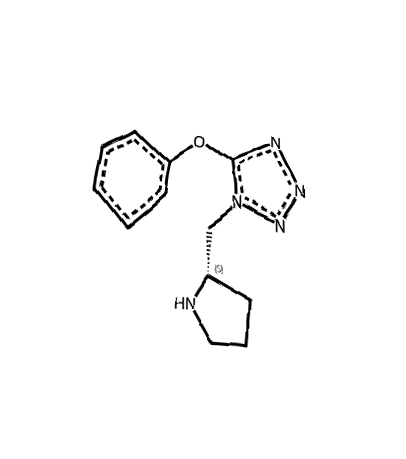 c1ccc(Oc2nnnn2C[C@@H]2CCCN2)cc1